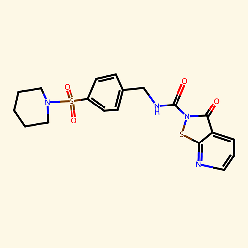 O=C(NCc1ccc(S(=O)(=O)N2CCCCC2)cc1)n1sc2ncccc2c1=O